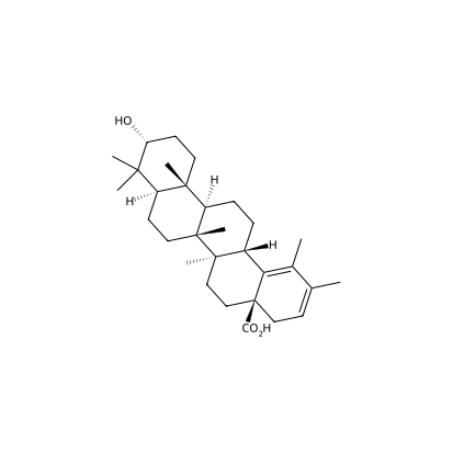 CC1=CC[C@]2(C(=O)O)CC[C@]3(C)[C@H](CC[C@@H]4[C@@]5(C)CC[C@@H](O)C(C)(C)[C@@H]5CC[C@]43C)C2=C1C